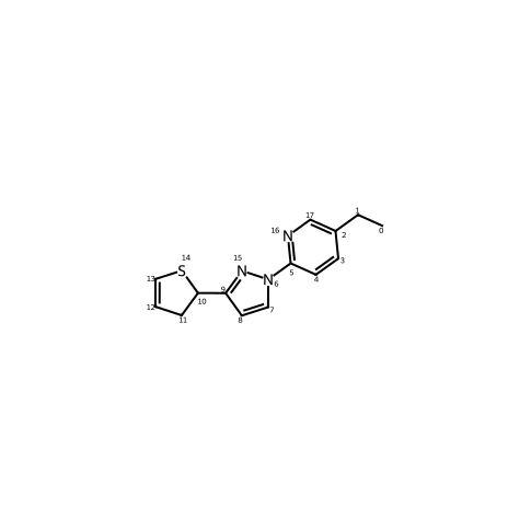 CCc1ccc(-n2ccc(C3CC=CS3)n2)nc1